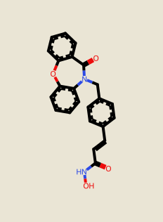 O=C(C=Cc1ccc(CN2C(=O)c3ccccc3Oc3ccccc32)cc1)NO